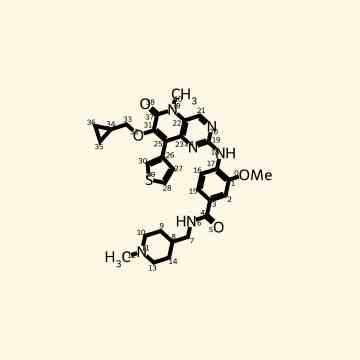 COc1cc(C(=O)NCC2CCN(C)CC2)ccc1Nc1ncc2c(n1)c(-c1ccsc1)c(OCC1CC1)c(=O)n2C